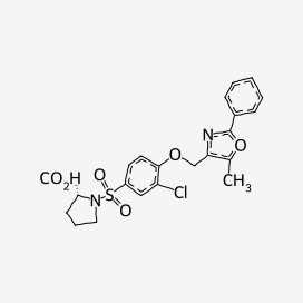 Cc1oc(-c2ccccc2)nc1COc1ccc(S(=O)(=O)N2CCC[C@@H]2C(=O)O)cc1Cl